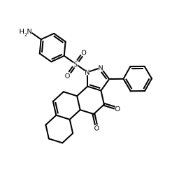 Nc1ccc(S(=O)(=O)n2nc(-c3ccccc3)c3c2C2CC=C4CCCCC4C2C(=O)C3=O)cc1